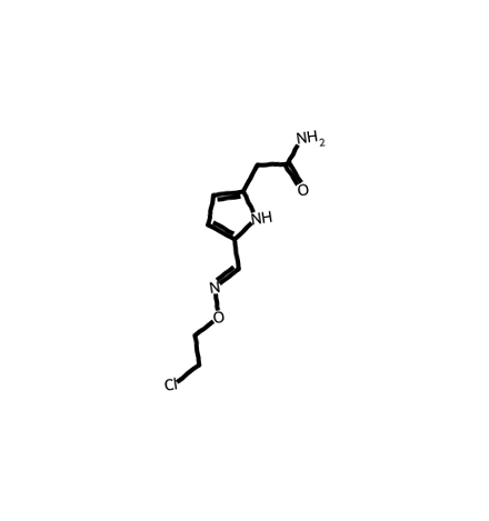 NC(=O)Cc1ccc(C=NOCCCl)[nH]1